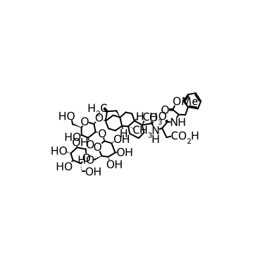 C=C1C[C@@]23CC[C@H]4[C@@](C)(CCC[C@@]4(C)C(=O)NC(CC(=O)O)C(=O)NC(Cc4ccccc4)C(=O)OC)[C@@H]2CC[C@]1(O[C@@H]1O[C@H](CO)[C@@H](O)[C@H](O[C@@H]2O[C@H](CO)[C@@H](O)[C@H](O)[C@H]2O)[C@H]1O[C@@H]1O[C@H](CO)[C@@H](O)[C@H](O)[C@H]1O)C3